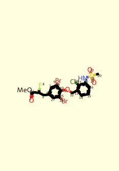 COC(=O)C(F)Cc1cc(Br)c(OCc2cccc(NS(C)(=O)=O)c2Cl)c(Br)c1